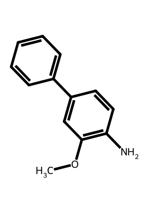 COc1cc(-c2ccccc2)ccc1N